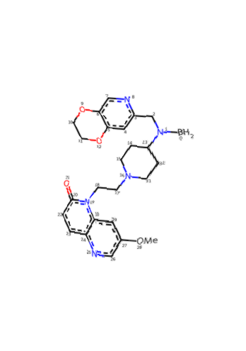 BN(Cc1cc2c(cn1)OCCO2)C1CCN(CCn2c(=O)ccc3ncc(OC)cc32)CC1